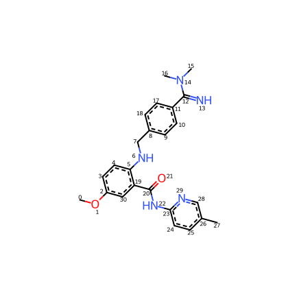 COc1ccc(NCc2ccc(C(=N)N(C)C)cc2)c(C(=O)Nc2ccc(C)cn2)c1